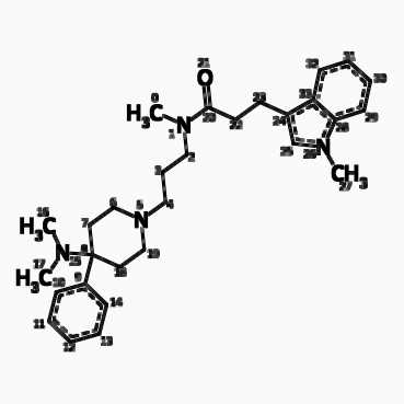 CN(CCCN1CCC(c2ccccc2)(N(C)C)CC1)C(=O)CCc1cn(C)c2ccccc12